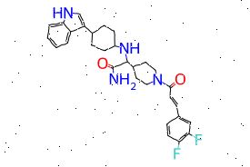 NC(=O)C(NC1CCC(c2c[nH]c3ccccc23)CC1)C1CCN(C(=O)/C=C/c2ccc(F)c(F)c2)CC1